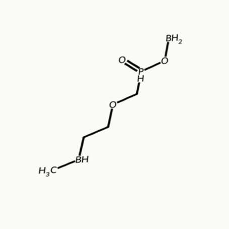 BO[PH](=O)COCCBC